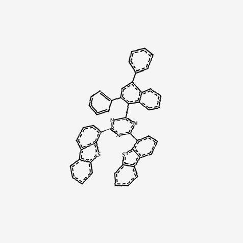 C1=C=CC(c2cc(-c3ccccc3)c3ccccc3c2-c2nc(-c3cccc4c3sc3ccccc34)nc(-c3cccc4c3sc3ccccc34)n2)=CC=1